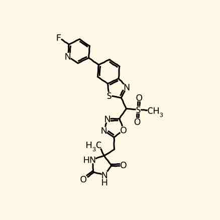 CC1(Cc2nnc(C(c3nc4ccc(-c5ccc(F)nc5)cc4s3)S(C)(=O)=O)o2)NC(=O)NC1=O